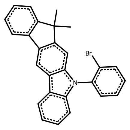 CC1(C)c2ccccc2-c2cc3c4ccccc4n(-c4ccccc4Br)c3cc21